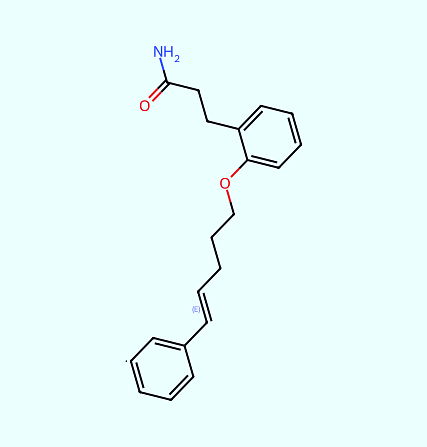 NC(=O)CCc1ccccc1OCCC/C=C/c1c[c]ccc1